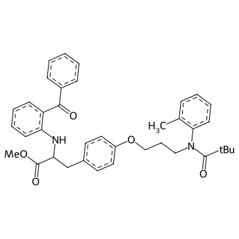 COC(=O)C(Cc1ccc(OCCCN(C(=O)C(C)(C)C)c2ccccc2C)cc1)Nc1ccccc1C(=O)c1ccccc1